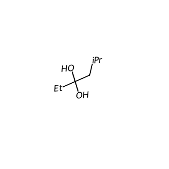 CCC(O)(O)CC(C)C